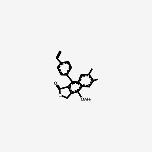 C=Cc1ccc(-c2c3c(c(OC)c4cc(C)c(C)cc24)COC3=O)cc1